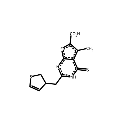 Cc1c(C(=O)O)sc2nc(CC3C=CSC3)[nH]c(=S)c12